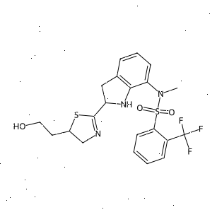 CN(c1cccc2c1NC(C1=NCC(CCO)S1)C2)S(=O)(=O)c1ccccc1C(F)(F)F